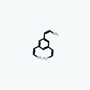 C/C=C\c1[c]c(/C=C\C)cc(/C=C\C)c1